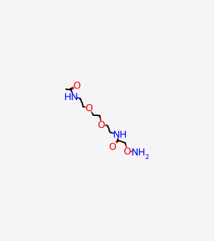 CC(=O)NCCOCCOCCNC(=O)CON